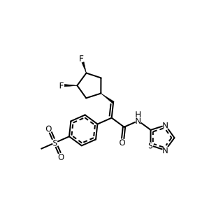 CS(=O)(=O)c1ccc(/C(=C\[C@H]2C[C@@H](F)[C@@H](F)C2)C(=O)Nc2ncns2)cc1